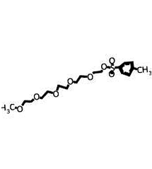 COCCOCCOCCOCCOCCOS(=O)(=O)c1ccc(C)cc1